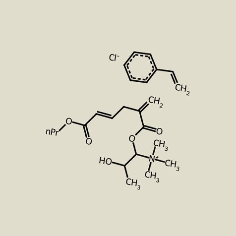 C=C(CC=CC(=O)OCCC)C(=O)OC(C(C)O)[N+](C)(C)C.C=Cc1ccccc1.[Cl-]